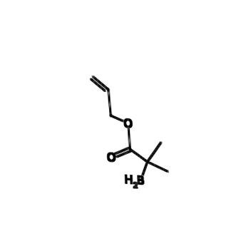 BC(C)(C)C(=O)OCC=C